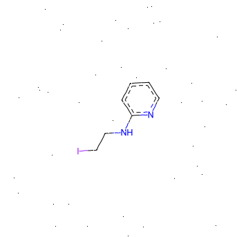 ICCNc1ccccn1